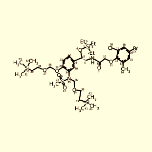 CC[Si](CC)(CC)O[C@H](CNC(=O)COc1c(C)cc(Br)cc1Cl)c1ccc(OCOCC[Si](C)(C)C)c(N(COCC[Si](C)(C)C)S(C)(=O)=O)c1